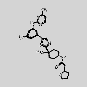 Cc1cc(Nc2nccc(C(F)(F)F)n2)cc(-c2cnc([C@]3(O)CC[C@@H](NC(=O)CC4CCCO4)CC3)s2)c1